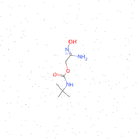 CC(C)(C)NC(=O)OC/C(N)=N/O